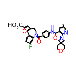 Cc1cnc(N2CC3(CCOCC3)C2)c(C(=O)Nc2ccc(C(=O)N3CCc4cc(C(=O)O)oc4-c4ccc(F)cc43)cc2)c1